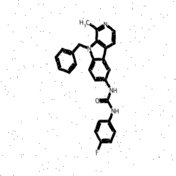 Cc1nccc2c3cc(NC(=O)Nc4ccc(F)cc4)ccc3n(Cc3ccccc3)c12